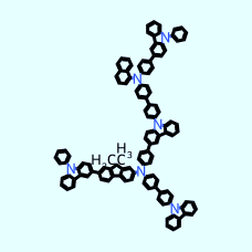 CC1(C)c2cc(-c3ccc4c(c3)c3ccccc3n4-c3ccccc3)ccc2-c2ccc(N(c3ccc(-c4ccc(-n5c6ccccc6c6ccccc65)cc4)cc3)c3ccc(-c4ccc5c(c4)c4ccccc4n5-c4ccc(-c5ccc(N(c6ccc(-c7ccc8c(c7)c7ccccc7n8-c7ccccc7)cc6)c6cccc7ccccc67)cc5)cc4)cc3)cc21